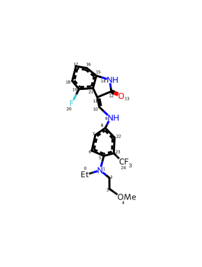 CCN(CCOC)c1ccc(NC=C2C(=O)Nc3cccc(F)c32)cc1C(F)(F)F